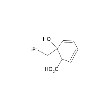 CC(C)CC1(O)C=CC=CC1C(=O)O